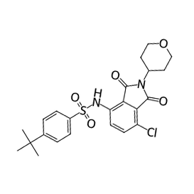 CC(C)(C)c1ccc(S(=O)(=O)Nc2ccc(Cl)c3c2C(=O)N(C2CCOCC2)C3=O)cc1